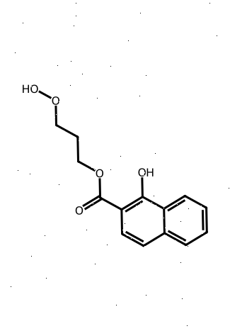 O=C(OCCCOO)c1ccc2ccccc2c1O